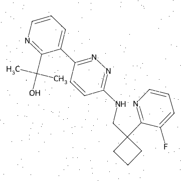 CC(C)(O)c1ncccc1-c1ccc(NCC2(c3ncccc3F)CCC2)nn1